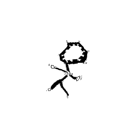 CC(=O)[N+]([O-])([O-])c1ccccc1